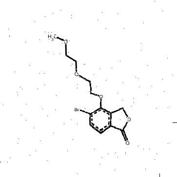 COCCOCCOc1c(Br)ccc2c1COC2=O